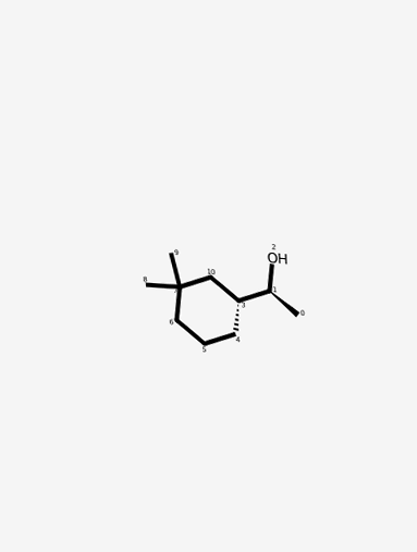 C[C@H](O)[C@@H]1CCCC(C)(C)C1